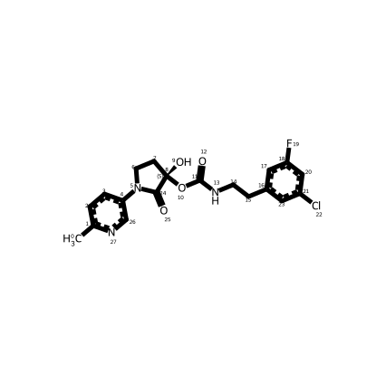 Cc1ccc(N2CC[C@](O)(OC(=O)NCCc3cc(F)cc(Cl)c3)C2=O)cn1